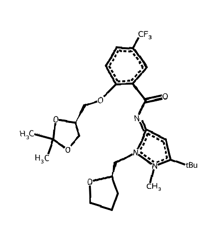 Cn1c(C(C)(C)C)cc(=NC(=O)c2cc(C(F)(F)F)ccc2OC[C@H]2COC(C)(C)O2)n1C[C@H]1CCCO1